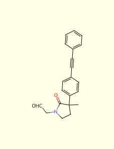 CC1(c2ccc(C#Cc3ccccc3)cc2)CCN(CC=O)C1=O